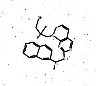 C[C@H](Nc1ncc2c(n1)N(CC(C)(C)CO)CC=C2)c1ccc2ccccc2c1